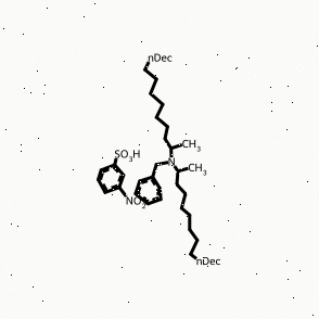 CCCCCCCCCCCCCCCCCC(C)N(Cc1ccccc1)C(C)CCCCCCCCCCCCCCCCC.O=[N+]([O-])c1cccc(S(=O)(=O)O)c1